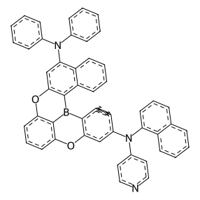 c1ccc(N(c2ccccc2)c2cc3c(c4ccccc24)B2c4c(cccc4Oc4cc(N(c5ccncc5)c5cccc6ccccc56)c5ccccc5c42)O3)cc1